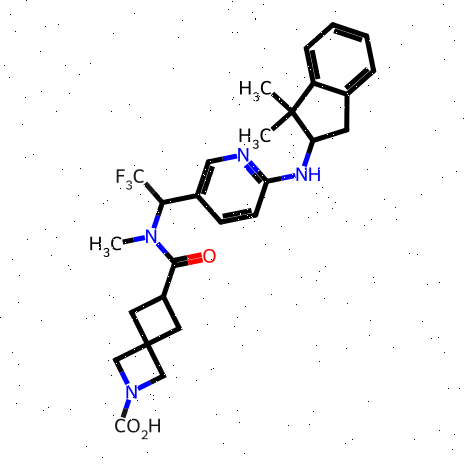 CN(C(=O)C1CC2(C1)CN(C(=O)O)C2)C(c1ccc(NC2Cc3ccccc3C2(C)C)nc1)C(F)(F)F